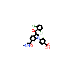 CNCC(=O)c1ccc2c(C(=O)c3c(Cl)cccc3Cl)cn(-c3ccc(C(=O)O)cc3F)c2c1